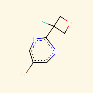 FC1(c2ncc(Br)cn2)COC1